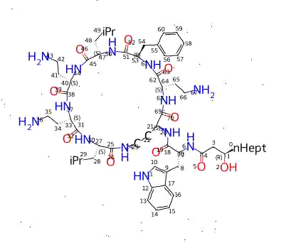 CCCCCCC[C@@H](O)CC(=O)N[C@H](Cc1c[nH]c2ccccc12)C(=O)N[C@H]1CCNC(=O)[C@H](CC(C)C)NC(=O)[C@H](CCN)NC(=O)[C@H](CCN)NC(=O)[C@H](CC(C)C)NC(=O)[C@@H](Cc2ccccc2)NC(=O)[C@H](CCN)NC1=O